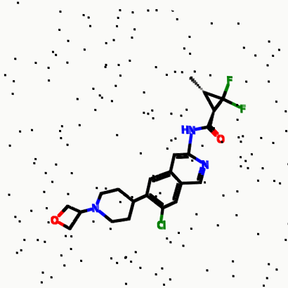 C[C@H]1[C@H](C(=O)Nc2cc3cc(C4CCN(C5COC5)CC4)c(Cl)cc3cn2)C1(F)F